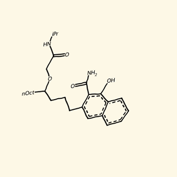 CCCCCCCCC(CCCc1cc2ccccc2c(O)c1C(N)=O)OCC(=O)NC(C)C